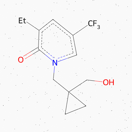 CCc1cc(C(F)(F)F)cn(CC2(CO)CC2)c1=O